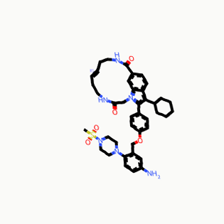 CS(=O)(=O)N1CCN(c2ccc(N)cc2COc2ccc(-c3c(C4CCCCC4)c4ccc5cc4n3CC(=O)NCC/C=C/CCNC5=O)cc2)CC1